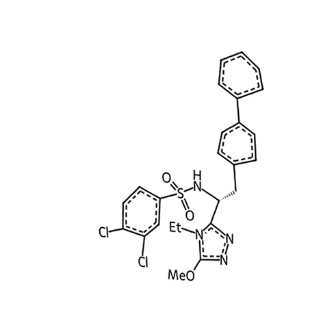 CCn1c(OC)nnc1[C@@H](Cc1ccc(-c2ccccc2)cc1)NS(=O)(=O)c1ccc(Cl)c(Cl)c1